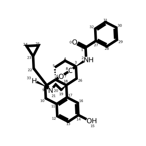 O=C(N[C@]12CC[C@@]3(OC1)[C@H]1Cc4ccc(O)cc4[C@@]3(CCN1CC1CC1)C2)c1ccccc1